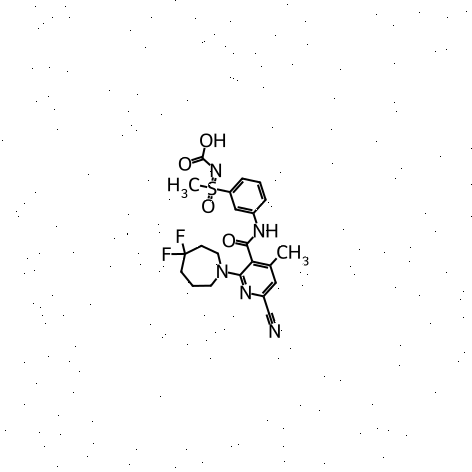 Cc1cc(C#N)nc(N2CCCC(F)(F)CC2)c1C(=O)Nc1cccc(S(C)(=O)=NC(=O)O)c1